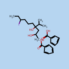 CCC(I)CCCC(O)(CC(C)O)C(C)C.O=C(O)c1ccccc1.O=C(O)c1ccccc1